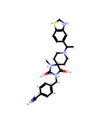 CC(c1ccc2c(c1)NCS2)N1CCC2(CC1)C(=O)N(Cc1ccc(C#N)cc1)C(=O)N2C